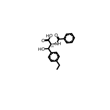 CCc1ccc(C(O)[C@H](NC(=O)c2ccccc2)C(=O)O)cc1